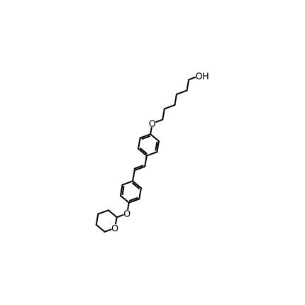 OCCCCCCOc1ccc(C=Cc2ccc(OC3CCCCO3)cc2)cc1